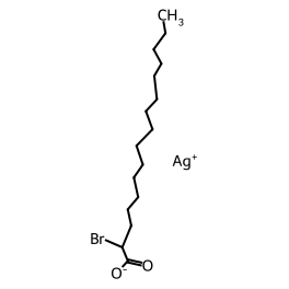 CCCCCCCCCCCCCCC(Br)C(=O)[O-].[Ag+]